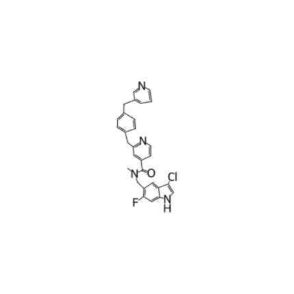 CN(Cc1cc2c(Cl)c[nH]c2cc1F)C(=O)c1ccnc(Cc2ccc(Cc3cccnc3)cc2)c1